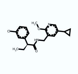 CC[C@H](C(=O)NCc1cc(C2CC2)cnc1OC)c1cccc(Cl)c1